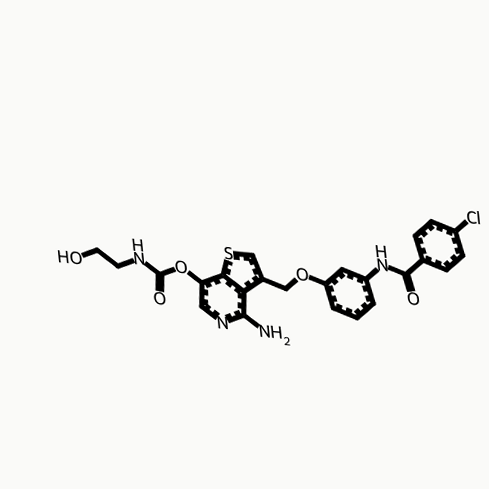 Nc1ncc(OC(=O)NCCO)c2scc(COc3cccc(NC(=O)c4ccc(Cl)cc4)c3)c12